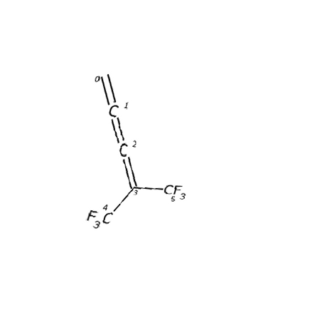 C=C=C=C(C(F)(F)F)C(F)(F)F